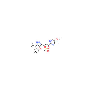 CC(C)C[C@@H](N)C(CCCC(OS(C)(=O)=O)c1ncc(OC(C)C)cn1)O[Si](C)(C)C(C)(C)C